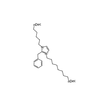 CCCCCCCCCCCCCCCCCC[n+]1ccn(CCCCCCCCCCCCCCC)c1Cc1ccccc1